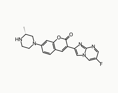 C[C@@H]1CN(c2ccc3cc(-c4cn5cc(F)cnc5n4)c(=O)oc3c2)CCN1